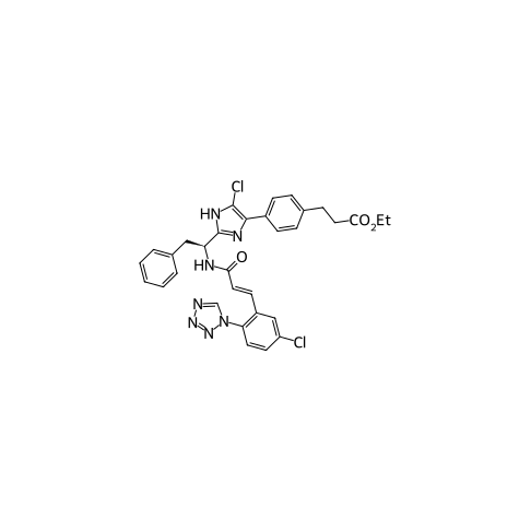 CCOC(=O)CCc1ccc(-c2nc([C@H](Cc3ccccc3)NC(=O)C=Cc3cc(Cl)ccc3-n3cnnn3)[nH]c2Cl)cc1